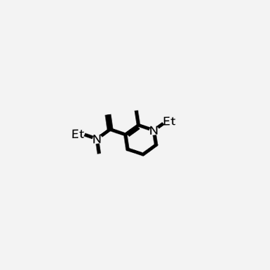 C=C(C1=C(C)N(CC)CCC1)N(C)CC